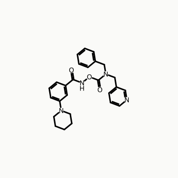 O=C(NOC(=O)N(Cc1ccccc1)Cc1cccnc1)c1cccc(N2CCCCC2)c1